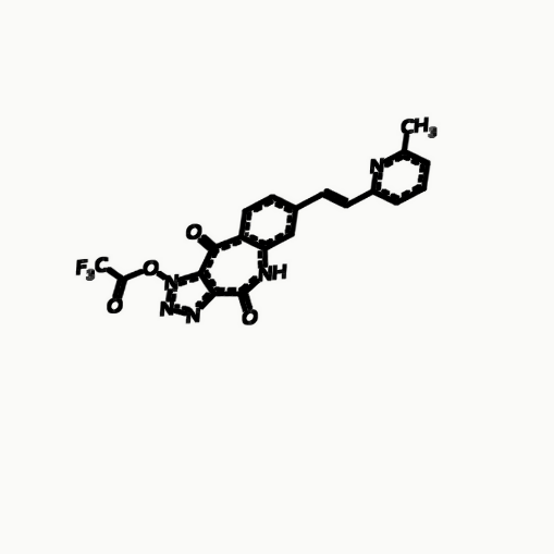 Cc1cccc(C=Cc2ccc3c(=O)c4c(nnn4OC(=O)C(F)(F)F)c(=O)[nH]c3c2)n1